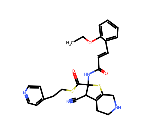 CCOc1ccccc1C=CC(=O)NC1(C(=O)SCCc2ccncc2)SC2=C(CCNC2)C1C#N